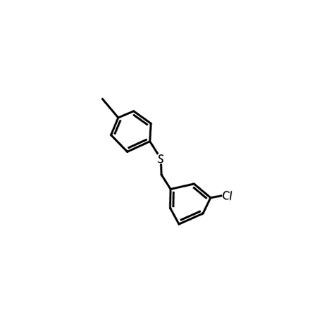 Cc1ccc(SCc2cccc(Cl)c2)cc1